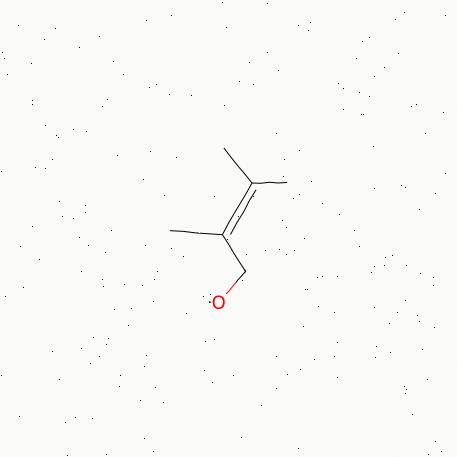 CC(C)=C(C)C[O]